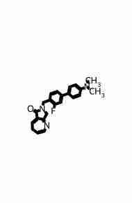 CN(C)c1ccc(-c2ccc(CN3CC4=NC=CCC=C4C3=O)c(F)c2)cc1